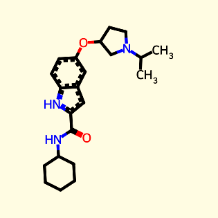 CC(C)N1CCC(Oc2ccc3[nH]c(C(=O)NC4CCCCC4)cc3c2)C1